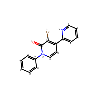 O=c1c(Br)c(-c2ccccn2)ccn1-c1ccccc1